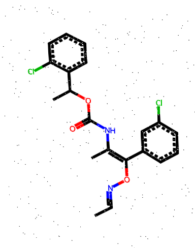 C/C=N/O/C(=C(\C)NC(=O)OC(C)c1ccccc1Cl)c1cccc(Cl)c1